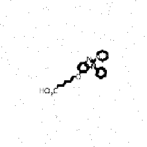 O=C(O)CCCCCOc1ccc2nc(N3CCCCC3)n(-c3ccccc3)c2c1